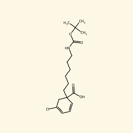 CC(C)(C)OC(=O)NCCCCCCC1(C(=O)O)C=CC=C(Cl)C1